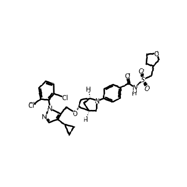 O=C(NS(=O)(=O)CC1CCOC1)c1ccc(N2C[C@@H]3C[C@H]2C[C@H]3OCc2c(C3CC3)cnn2-c2c(Cl)cccc2Cl)cc1